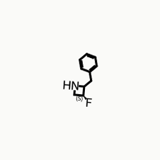 F[C@H]1CNC1Cc1ccccc1